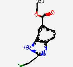 CC(C)(C)OC(=O)c1ccc2nc(CCl)[nH]c2c1